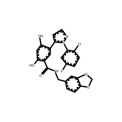 O=C(NCc1ccc2c(c1)OCO2)c1cc(-c2ccnn2-c2cc(F)ccc2Cl)c(O)cc1O